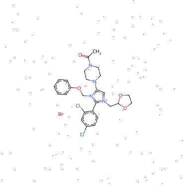 CC(=O)N1CCN(c2c[n+](CC3OCCO3)c(-c3ccc(Cl)cc3Cl)n2COc2ccccc2)CC1.[Br-]